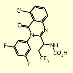 O=C(O)NC(CC(F)(F)F)c1nc2cccc(Cl)c2c(=O)n1-c1cc(F)cc(F)c1